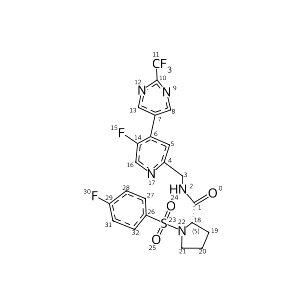 O=C(NCc1cc(-c2cnc(C(F)(F)F)nc2)c(F)cn1)[C@@H]1CCCN1S(=O)(=O)c1ccc(F)cc1